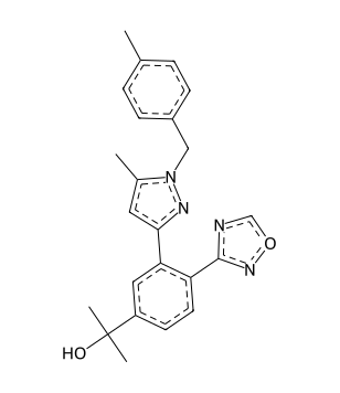 Cc1ccc(Cn2nc(-c3cc(C(C)(C)O)ccc3-c3ncon3)cc2C)cc1